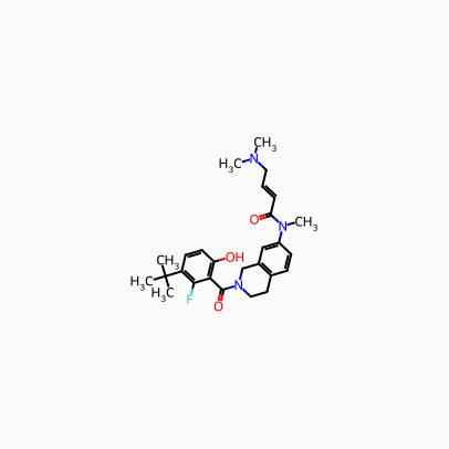 CN(C)C/C=C/C(=O)N(C)c1ccc2c(c1)CN(C(=O)c1c(O)ccc(C(C)(C)C)c1F)CC2